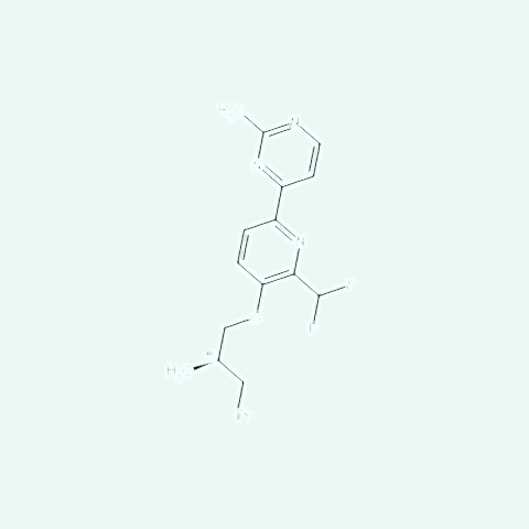 Cc1nccc(-c2ccc(OC[C@H](C)CC(C)C)c(C(F)F)n2)n1